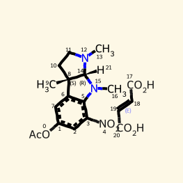 CC(=O)Oc1cc([N+](=O)[O-])c2c(c1)[C@]1(C)CCN(C)[C@@H]1N2C.O=C(O)/C=C/C(=O)O